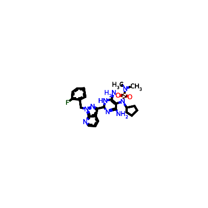 CN(C)S(=O)(=O)N(C1=C(N)NC(c2nn(Cc3ccccc3F)c3ncccc23)N=C1N)C1CCCC1